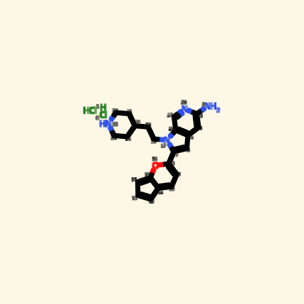 Cl.Cl.Nc1cc2cc(-c3ccc4cccc-4o3)n(CCC3CCNCC3)c2cn1